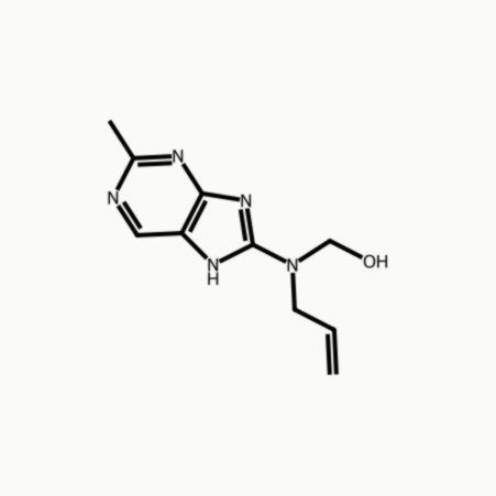 C=CCN(CO)c1nc2nc(C)ncc2[nH]1